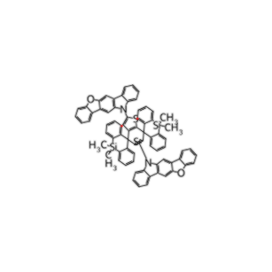 C[Si]1(C)c2ccccc2C2(c3ccccc31)c1cc(-n3c4ccccc4c4cc5oc6ccccc6c5cc43)sc1C1(c3ccccc3[Si](C)(C)c3ccccc31)c1cc(-n3c4ccccc4c4cc5oc6ccccc6c5cc43)sc12